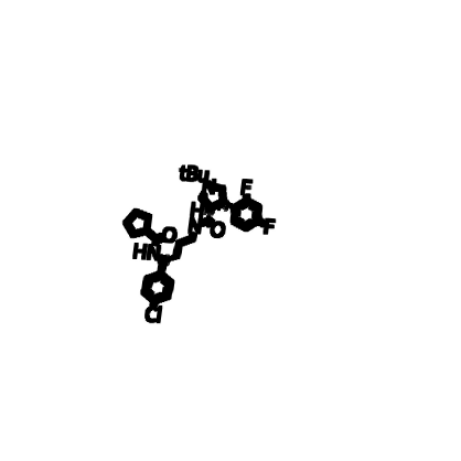 CC(C)(C)N1C[C@@H](C(=O)NCCC[C@H](NC(=O)C2CCCC2)c2ccc(Cl)cc2)[C@H](c2ccc(F)cc2F)C1